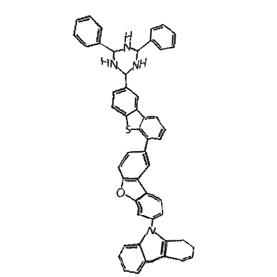 C1=Cc2c(n(-c3ccc4c(c3)oc3ccc(-c5cccc6c5sc5ccc(C7NC(c8ccccc8)NC(c8ccccc8)N7)cc56)cc34)c3ccccc23)CC1